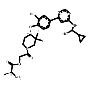 C[C@H](N)C(=O)OCC(=O)N1CC[C@H](Oc2ccc(-c3cc(NC(O)C4CC4)ncn3)cc2C#N)C(F)(F)C1